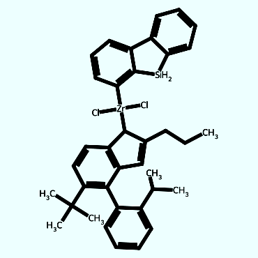 CCCC1=Cc2c(ccc(C(C)(C)C)c2-c2ccccc2C(C)C)[CH]1[Zr]([Cl])([Cl])[c]1cccc2c1[SiH2]c1ccccc1-2